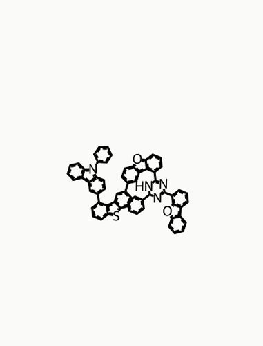 c1ccc(C2N=C(c3cccc4c3oc3ccccc34)N=C(c3cccc4oc5ccc(-c6ccc7sc8cccc(-c9ccc%10c(c9)c9ccccc9n%10-c9ccccc9)c8c7c6)cc5c34)N2)cc1